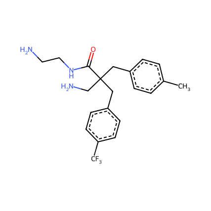 Cc1ccc(CC(CN)(Cc2ccc(C(F)(F)F)cc2)C(=O)NCCN)cc1